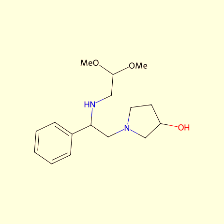 COC(CNC(CN1CCC(O)C1)c1ccccc1)OC